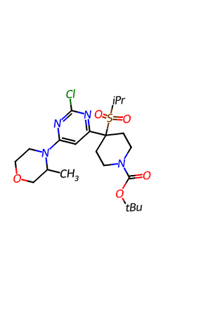 CC1COCCN1c1cc(C2(S(=O)(=O)C(C)C)CCN(C(=O)OC(C)(C)C)CC2)nc(Cl)n1